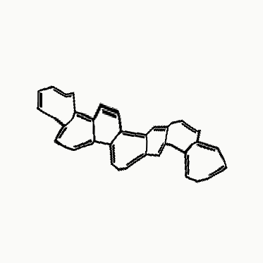 c1ccc2c(c1)ccc1cc3c(ccc4c3ccc3c5ccccc5ccc34)cc12